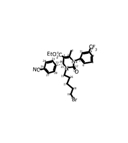 CCOC(=O)C1=C(C)N(c2cccc(C(F)(F)F)c2)C(=O)N(CCCCCBr)[C@@H]1c1ccc(C#N)cc1